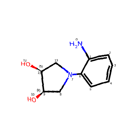 Nc1ccccc1N1C[C@@H](O)[C@@H](O)C1